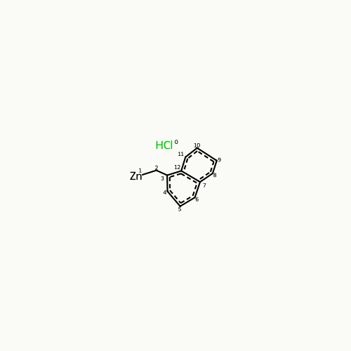 Cl.[Zn][CH2]c1cccc2ccccc12